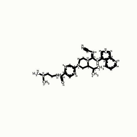 CC(C)C1CN(c2cnc(C(=O)NCCN(C)C)cn2)CCN1/C(=N\C#N)Nc1cccc2ncccc12